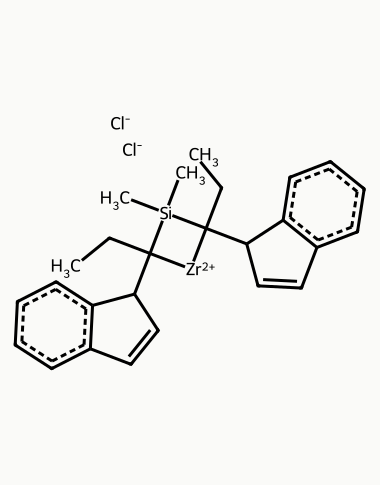 CC[C]1(C2C=Cc3ccccc32)[Zr+2][C](CC)(C2C=Cc3ccccc32)[Si]1(C)C.[Cl-].[Cl-]